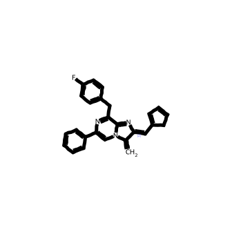 C=c1/c(=C/C2=CC=CC2)nc2c(Cc3ccc(F)cc3)nc(-c3ccccc3)cn12